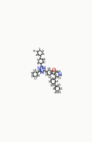 Cc1cccc(-c2ccc(-c3nc(-c4ccccc4)nc(-c4ccc5c(c4)oc4cncc(-c6cccc(-c7ccccc7)c6)c45)n3)cc2)c1